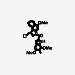 COc1cc2cc(C(=O)N3C[C@@H](CCl)c4c3cc(OC)c3ccccc43)[nH]c2c(OC)c1C